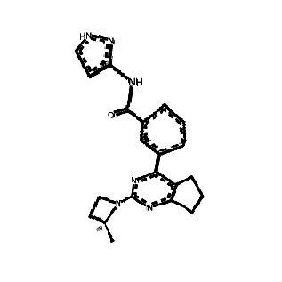 C[C@H]1CCN1c1nc2c(c(-c3cccc(C(=O)Nc4cc[nH]n4)c3)n1)CCC2